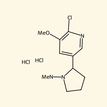 CNN1CCCC1c1cnc(Cl)c(OC)c1.Cl.Cl